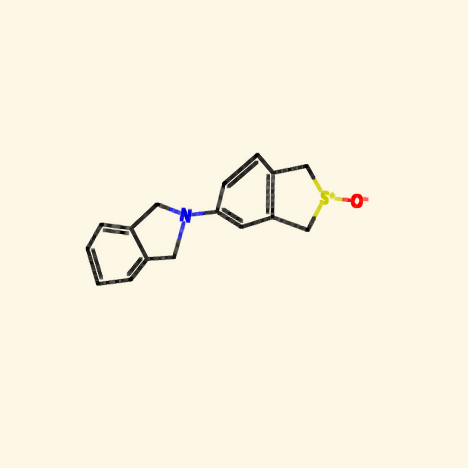 [O-][S+]1Cc2ccc(N3Cc4ccccc4C3)cc2C1